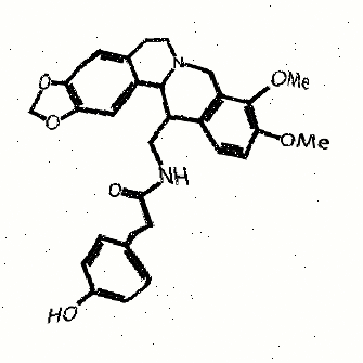 COc1ccc2c(c1OC)CN1CCc3cc4c(cc3C1C2CNC(=O)Cc1ccc(O)cc1)OCO4